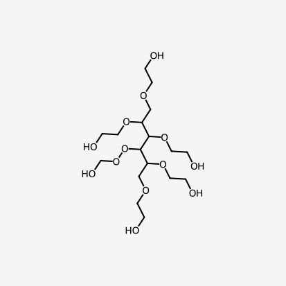 OCCOCC(OCCO)C(OCCO)C(OOCO)C(COCCO)OCCO